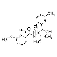 COc1cccc(C(=O)NC(C)(C(C)C)[C@H](O)c2cccc(C)c2)c1C